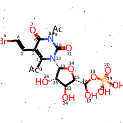 CC(=O)c1c(/C=C/Br)c(=O)n(C(C)=O)c(=O)n1[C@@H]1O[C@H](C(O)OP(=O)(O)O)[C@@H](O)[C@@H]1O